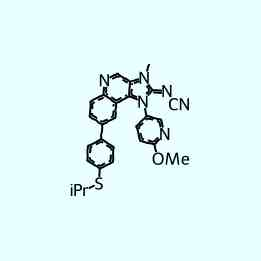 COc1ccc(-n2c(=NC#N)n(C)c3cnc4ccc(-c5ccc(SC(C)C)cc5)cc4c32)cn1